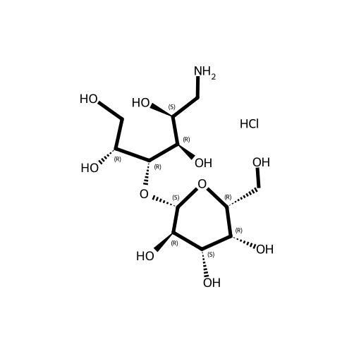 Cl.NC[C@H](O)[C@@H](O)[C@H](O[C@@H]1O[C@H](CO)[C@H](O)[C@H](O)[C@H]1O)[C@H](O)CO